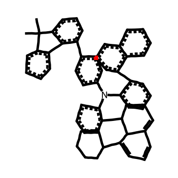 CC1(C)c2ccccc2-c2c(-c3ccc(N(c4ccccc4-c4cccc5ccccc45)c4ccccc4C4C=CC=C5C=CC=C(C6CCCCC6)C54)cc3)cccc21